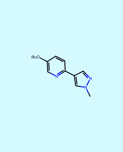 CC(C)COc1ccc(-c2[c]nn(C)c2)nc1